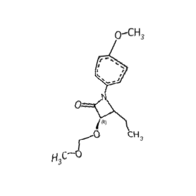 CCC1[C@@H](OCOC)C(=O)N1c1ccc(OC)cc1